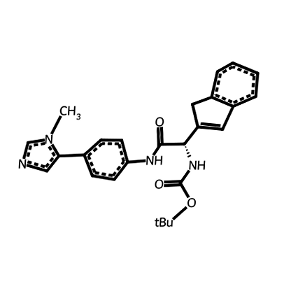 Cn1cncc1-c1ccc(NC(=O)[C@@H](NC(=O)OC(C)(C)C)C2=Cc3ccccc3C2)cc1